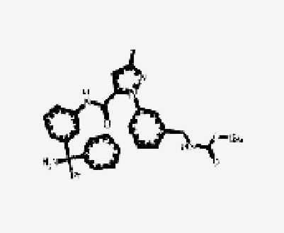 Cc1cc(C(=O)Nc2cccc(C(N)(c3ccccc3)C(C)C)c2)n(-c2cccc(CNC(=O)OC(C)(C)C)c2)n1